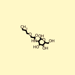 CCCCOCC(=O)N[C@H]1C(O)OC(CO)[C@@H](O)C1O